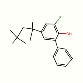 CC(C)(C)CC(C)(C)c1cc(F)c(O)c(-c2ccccc2)c1